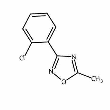 Cc1nc(-c2ccccc2Cl)no1